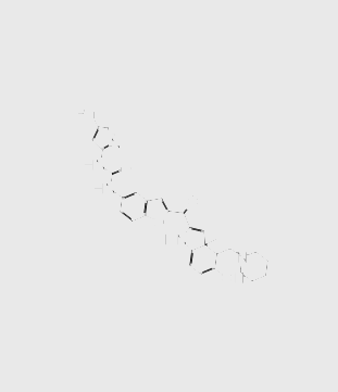 CC(C)(C)c1cc(NC(=O)Nc2ccc3oc(C(=O)C4=CC5(C)C(=CC=C(O)C5CN5CCCCC5)N4)cc3c2)no1